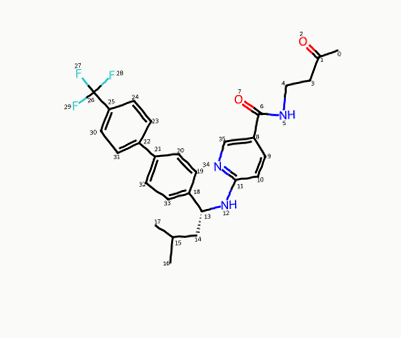 CC(=O)CCNC(=O)c1ccc(N[C@H](CC(C)C)c2ccc(-c3ccc(C(F)(F)F)cc3)cc2)nc1